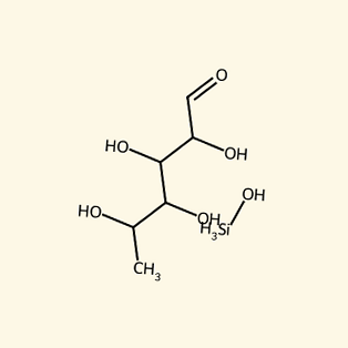 CC(O)C(O)C(O)C(O)C=O.O[SiH3]